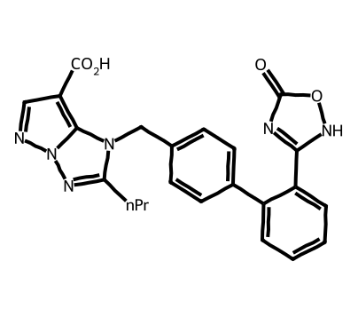 CCCc1nn2ncc(C(=O)O)c2n1Cc1ccc(-c2ccccc2-c2nc(=O)o[nH]2)cc1